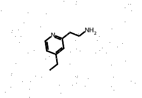 CCc1ccnc(CCN)c1